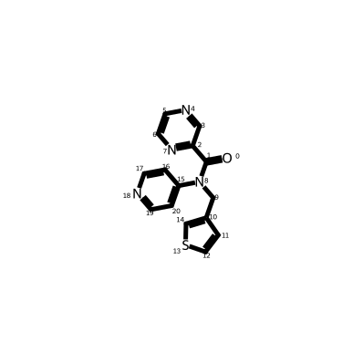 O=C(c1cnccn1)N(Cc1ccsc1)c1ccncc1